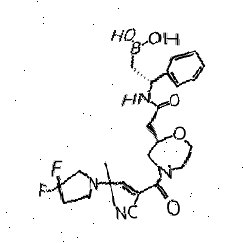 CC(C)(C=C(C#N)C(=O)N1CCO[C@H](CC(=O)N[C@H](CB(O)O)c2ccccc2)C1)N1CCC(F)(F)C1